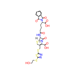 O=C(CCCC(C(=O)O)N1C(=O)c2ccccc2C1=O)NC1C(=O)N2C(C(=O)O)=C(CSc3nnc(SCCO)s3)CS[C@@H]12